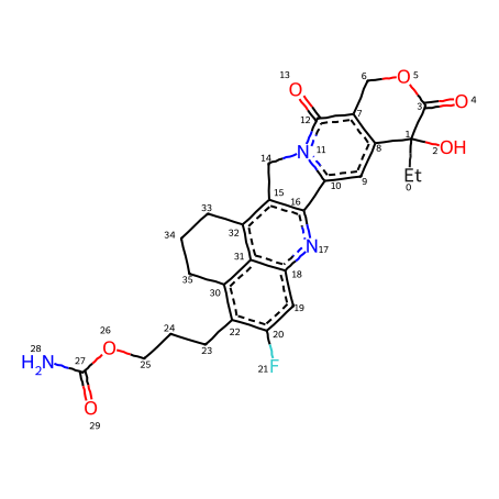 CCC1(O)C(=O)OCc2c1cc1n(c2=O)Cc2c-1nc1cc(F)c(CCCOC(N)=O)c3c1c2CCC3